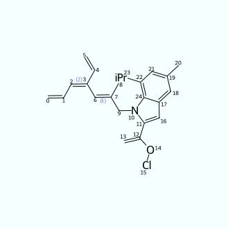 C=C/C=C(C=C)\C=C(/C)Cn1c(C(=C)OCl)cc2cc(C)cc(C(C)C)c21